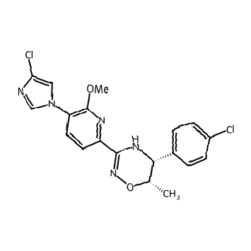 COc1nc(C2=NO[C@@H](C)[C@@H](c3ccc(Cl)cc3)N2)ccc1-n1cnc(Cl)c1